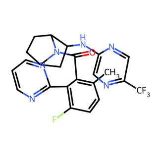 Cc1ccc(F)c(-c2ncccn2)c1C(=O)N1C2CCC1C(Nc1cnc(C(F)(F)F)cn1)C2